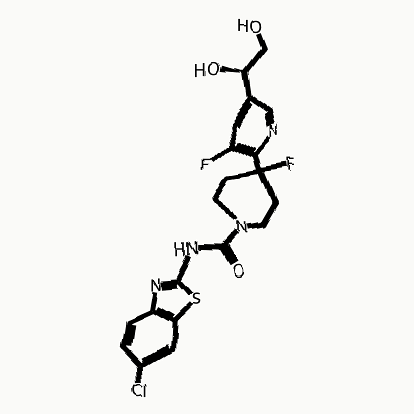 O=C(Nc1nc2ccc(Cl)cc2s1)N1CCC(F)(c2ncc([C@@H](O)CO)cc2F)CC1